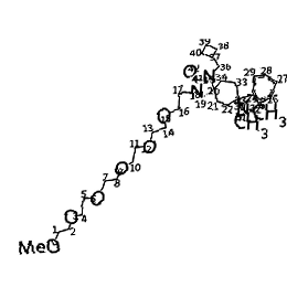 COCCOCCOCCOCCOCCOCCN1C[C@]2(CC[C@](c3ccccc3)(N(C)C)CC2)N(CC2CCC2)C1=O